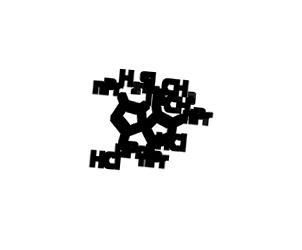 CCCC1=CC(CCC)=[C]([Ti]([CH3])([CH3])(=[SiH2])[C]2=C(CCC)C=C(CCC)C2)C1.Cl.Cl